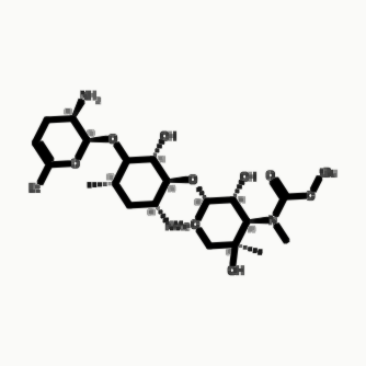 CCC1=CC[C@@H](N)[C@@H](OC2[C@@H](C)C[C@@H](NC)[C@H](O[C@H]3OC[C@](C)(O)[C@H](N(C)C(=O)OC(C)(C)C)[C@H]3O)[C@H]2O)O1